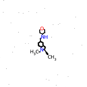 CC#Cc1cc2cc(CNC3CCOCC3)ccc2n1CC